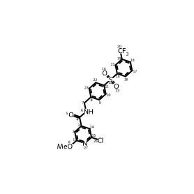 COc1cc(C(=O)NCc2ccc(S(=O)(=O)c3cccc(C(F)(F)F)c3)cc2)cc(Cl)n1